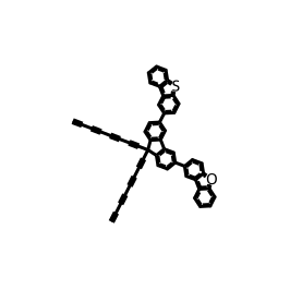 C#CC#CC#CC#CC1(C#CC#CC#CC#C)c2ccc(-c3ccc4oc5ccccc5c4c3)cc2-c2cc(-c3ccc4sc5ccccc5c4c3)ccc21